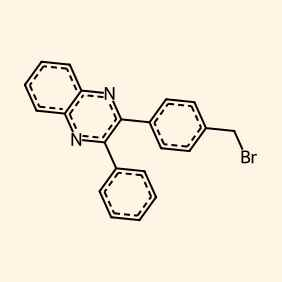 BrCc1ccc(-c2nc3ccccc3nc2-c2ccccc2)cc1